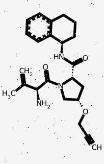 C#CCO[C@H]1C[C@@H](C(=O)N[C@@H]2CCCc3ccccc32)N(C(=O)[C@@H](N)C(=C)C)C1